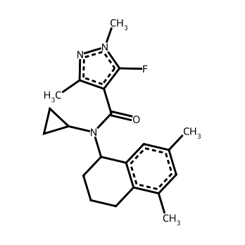 Cc1cc(C)c2c(c1)C(N(C(=O)c1c(C)nn(C)c1F)C1CC1)CCC2